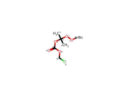 CCCCOOC(C)(C)OC(=O)OCCl